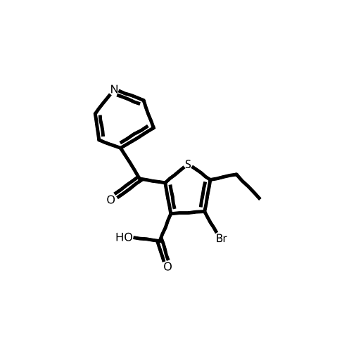 CCc1sc(C(=O)c2ccncc2)c(C(=O)O)c1Br